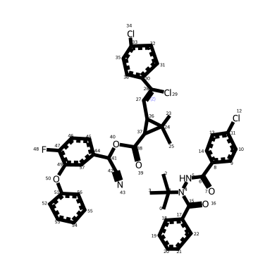 CC(C)(C)N(NC(=O)c1ccc(Cl)cc1)C(=O)c1ccccc1.CC1(C)C(/C=C(\Cl)c2ccc(Cl)cc2)C1C(=O)OC(C#N)c1ccc(F)c(Oc2ccccc2)c1